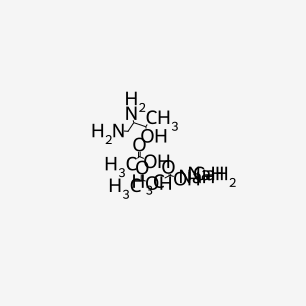 CC(=O)O.CC(=O)O.CC(=O)O.CC(O)C(N)CN.[CaH2].[NaH].[NaH]